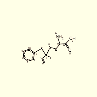 C=CC(C)(Cc1ccccc1)SCC(N)C(=O)O